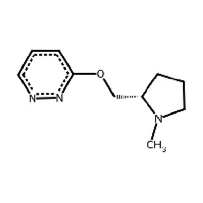 CN1CCC[C@H]1COc1cccnn1